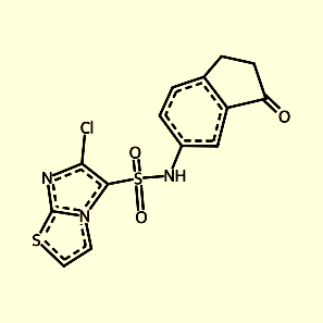 O=C1CCc2ccc(NS(=O)(=O)c3c(Cl)nc4sccn34)cc21